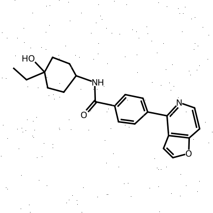 CCC1(O)CCC(NC(=O)c2ccc(-c3nccc4occc34)cc2)CC1